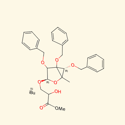 CC[C@H](C)C(O[C@@H]1OC2(C)[C@@H](OCc3ccccc3)C2(OCc2ccccc2)C1OCc1ccccc1)C(O)C(=O)OC